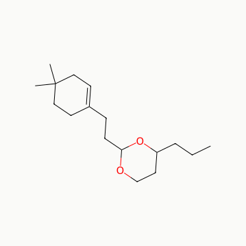 CCCC1CCOC(CCC2=CCC(C)(C)CC2)O1